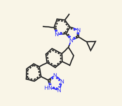 Cc1cc(C)c2nc(C3CC3)n(C3CCc4cc(-c5ccccc5-c5nnn[nH]5)ccc43)c2n1